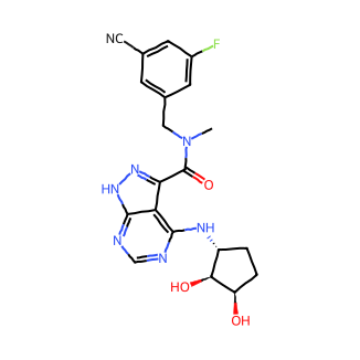 CN(Cc1cc(F)cc(C#N)c1)C(=O)c1n[nH]c2ncnc(N[C@@H]3CC[C@@H](O)[C@H]3O)c12